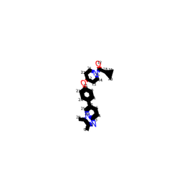 Cc1nc2ccc(-c3ccc(OC4CCN(C(=O)C5CC5)CC4)cc3)cn2c1C